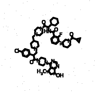 C[C@@H]1C[C@@H](O)c2ncnc(N3CCN(C(=O)C(CN4CCC(CN5CCN(C(=O)[C@H](NC(=O)c6cccc([C@H]7CCCN(C(=O)C8CC8)C7)c6F)C6CCCCC6)CC5)CC4)c4ccc(Cl)cc4)CC3)c21